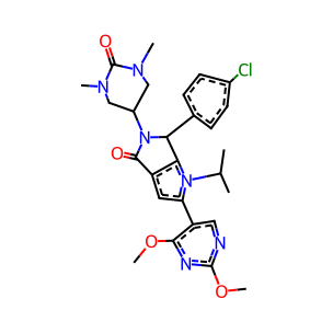 COc1ncc(-c2cc3c(n2C(C)C)C(c2ccc(Cl)cc2)N(C2CN(C)C(=O)N(C)C2)C3=O)c(OC)n1